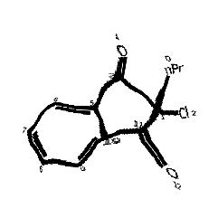 CCCC1(Cl)C(=O)c2ccccc2C1=O